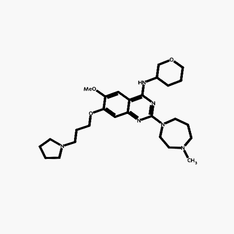 COc1cc2c(NC3CCCOC3)nc(N3CCCN(C)CC3)nc2cc1OCCCN1CCCC1